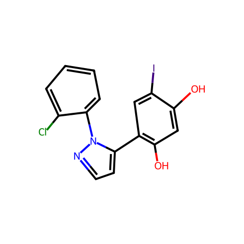 Oc1cc(O)c(-c2ccnn2-c2ccccc2Cl)cc1I